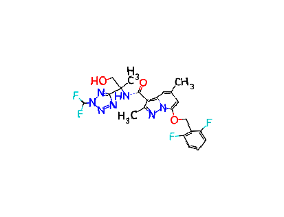 Cc1cc(OCc2c(F)cccc2F)n2nc(C)c(C(=O)NC(C)(CO)c3nnn(C(F)F)n3)c2c1